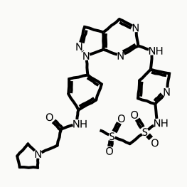 CS(=O)(=O)CS(=O)(=O)Nc1ccc(Nc2ncc3cnn(-c4ccc(NC(=O)CN5CCCC5)cc4)c3n2)cn1